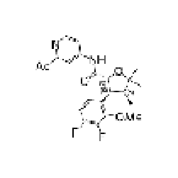 COc1c([C@H]2[C@H](C(=O)Nc3ccnc(C(C)=O)c3)OC(C)(C)[C@H]2C)ccc(F)c1F